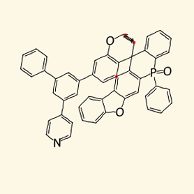 O=P1(c2ccccc2)c2ccccc2C2(c3ccccc3Oc3cc(-c4cc(-c5ccccc5)cc(-c5ccncc5)c4)ccc32)c2cc3c(cc21)oc1ccccc13